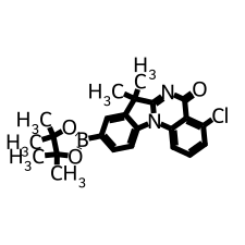 CC1(C)c2cc(B3OC(C)(C)C(C)(C)O3)ccc2-n2c1nc(=O)c1c(Cl)cccc12